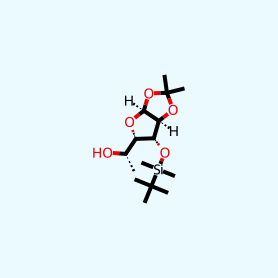 C[C@H](O)[C@@H]1O[C@H]2OC(C)(C)O[C@H]2[C@@H]1O[Si](C)(C)C(C)(C)C